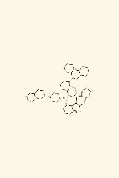 c1ccc2cc(-c3ccc(N(c4cccc5c(-c6cc7ccccc7c7ccccc67)cccc45)c4cccc5oc6cc7ccccc7cc6c45)cc3)ccc2c1